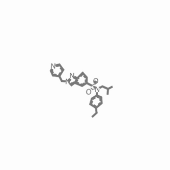 CCc1ccc(N(CC(C)C)S(=O)(=O)c2ccc3nn(Cc4ccncc4)cc3c2)cc1